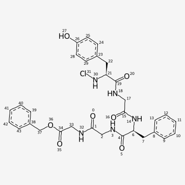 O=C(CNC(=O)[C@H](Cc1ccccc1)NC(=O)CNC(=O)[C@H](Cc1ccc(O)cc1)NCl)NCC(=O)OCc1ccccc1